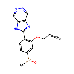 C=CCOc1cc([S+](C)[O-])ccc1-c1nc2cnncc2[nH]1